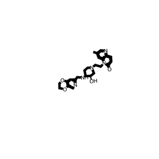 Cc1cnc2ccc(=O)n(CCN3CC[C@H](NCc4cc5c(cn4)OCCO5)[C@H](O)C3)c2c1